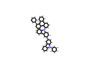 c1ccc(-c2cccc3c2c2ccccc2c2cccc(-n4c5ccccc5c5cc(-c6ccc7c(c6)c6ccccc6n7-c6ccccc6)ccc54)c23)cc1